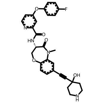 CN1C(=O)[C@@H](NC(=O)c2cc(Oc3ccc(F)cc3)ccn2)COc2ccc(C#CC3(O)CCNCC3)cc21